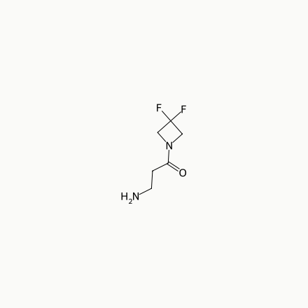 NCCC(=O)N1CC(F)(F)C1